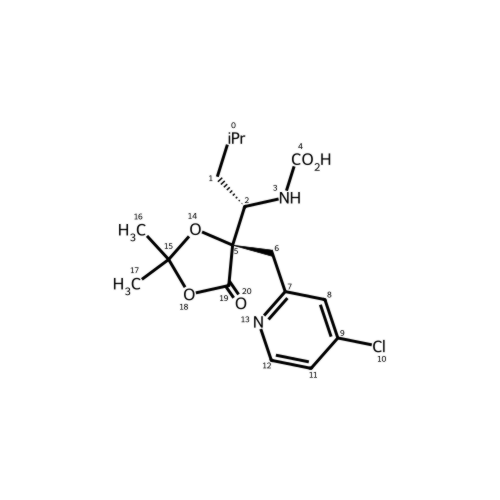 CC(C)C[C@H](NC(=O)O)[C@@]1(Cc2cc(Cl)ccn2)OC(C)(C)OC1=O